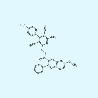 COc1ccc2nc(-c3ccccc3)c(C(=O)CSc3nc(N)c(C#N)c(-c4ccc(C)cc4)c3C#N)cc2c1